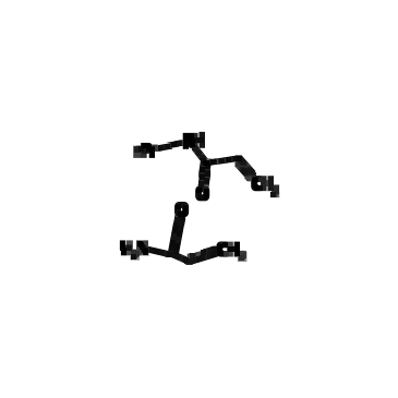 C=CC(=O)NCCC.C=CC(N)=O